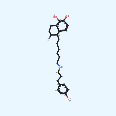 NC1CCc2c(ccc(O)c2O)C1CCCCCCNCCCc1ccc(O)cc1